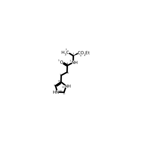 CCOC(=O)[C@H](C)NC(=O)CCC1=CNCN1